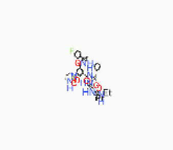 CCNC(=O)[C@@H](NC(=O)[C@H](C)NC[C@H](Cc1ccccc1)NC(=O)c1cc(C(=O)N[C@H](C)c2ccc(F)cc2)cc(N2CCCNS2(=O)=O)c1)C(C)C